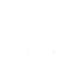 [CH2]C/C=C(/C)CC